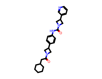 O=C(CC1CCCCC1)N1CC(c2ccc(NC(=O)N3CC(c4cccnc4)C3)cc2)C1